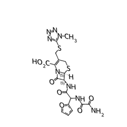 Cn1nnnc1SCC1=C(C(=O)O)N2C(=O)[C@H](NC(=O)C(NC(=O)C(N)=O)c3ccco3)[C@@H]2SC1